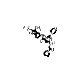 Cc1[nH]c2ccc(NC(=O)c3cc(NCC(=O)N4CCCCC4)nc(N4CCOCC4)n3)cc2c1C